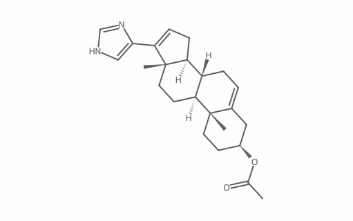 CC(=O)O[C@H]1CC[C@@]2(C)C(=CC[C@@H]3[C@@H]2CC[C@]2(C)C(c4c[nH]cn4)=CC[C@@H]32)C1